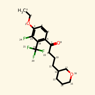 CCOc1ccc(C(=O)CCCC2CCCOC2)c(C(F)(F)F)c1F